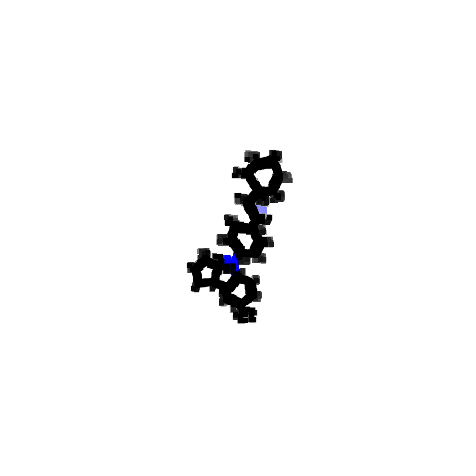 CCc1ccc2c(c1)C1CCCC1N2c1ccc(/C=C/C2C=CC=CC2)cc1